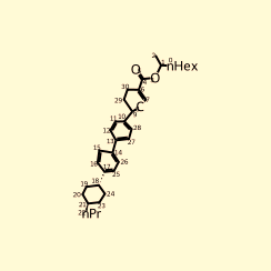 CCCCCCC(C)OC(=O)C1=CCC(c2ccc(-c3ccc([C@H]4CC[C@H](CCC)CC4)cc3)cc2)CC1